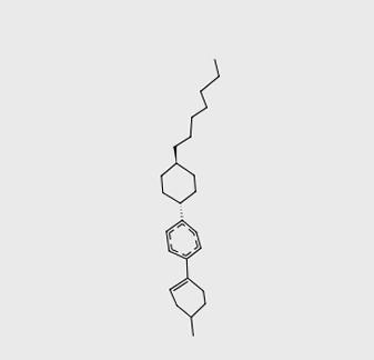 CCCCCCC[C@H]1CC[C@H](c2ccc(C3=CCC(C)CC3)cc2)CC1